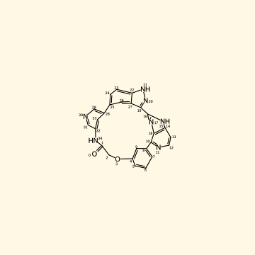 O=C1COc2cccc(c2)-c2nccc3[nH]c(nc23)-c2n[nH]c3ccc(cc23)-c2cncc(c2)N1